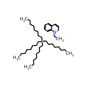 CCCCCCCC[B-](CCCCCCCC)(CCCCCCCC)CCCCCCCC.CC[n+]1cccc2ccccc21